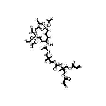 C=CC(=O)OCC(C)(COC(=O)C=C)NC(=O)OCC(C)(C)COC(=O)NC(CCC[Si](OCC)(OCC)OCC)CC[Si](OCC)(OCC)OCC